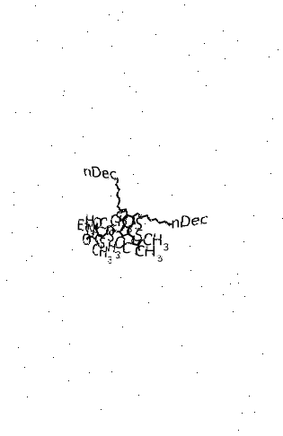 CCCCCCCCCCCCCCCCc1cc2c(s1)c1c(c3sc(CCCCCCCCCCCCCCCC)cc32)=C(c2sc(-c3sc(C)c4c3C(=O)N(CC)C4=O)c(C)c2C)C(=O)C=1c1sc(C)c(C)c1C